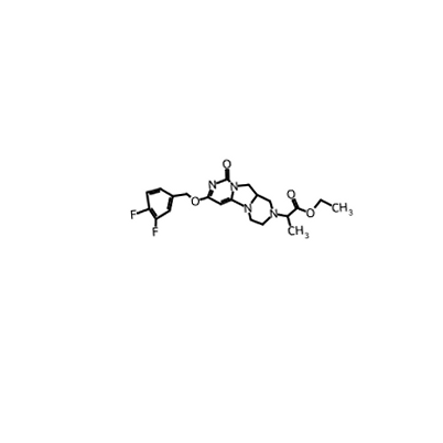 CCOC(=O)C(C)N1CCN2c3cc(OCc4ccc(F)c(F)c4)nc(=O)n3CC2C1